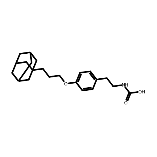 O=C(O)NCCc1ccc(OCCCC23CC4CC(CC(C4)C2)C3)cc1